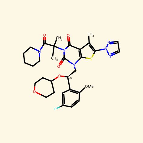 COc1ccc(F)cc1[C@H](Cn1c(=O)n(C(C)(C)C(=O)N2CCCCC2)c(=O)c2c(C)c(-n3nccn3)sc21)OC1CCOCC1